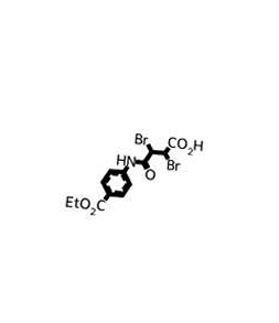 CCOC(=O)c1ccc(NC(=O)C(Br)C(Br)C(=O)O)cc1